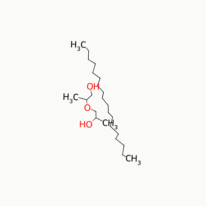 CC(O)COC(C)CO.CCCCCCCCCCCCCCCCCC